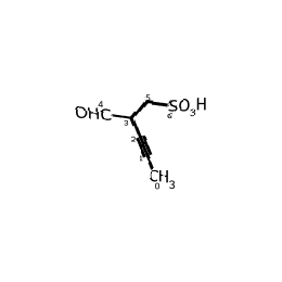 CC#CC(C=O)CS(=O)(=O)O